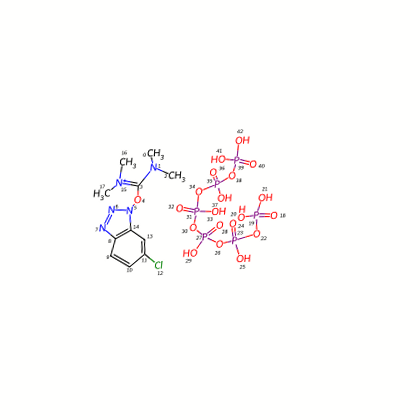 CN(C)C(On1nnc2ccc(Cl)cc21)=[N+](C)C.O=P(O)(O)OP(=O)(O)OP(=O)(O)OP(=O)(O)OP(=O)(O)OP(=O)(O)O